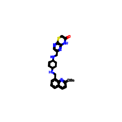 COc1ccc2cccc(CNC3CCC(NCc4cnc5c(n4)NC(=O)CS5)CC3)c2n1